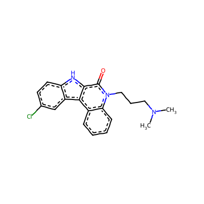 CN(C)CCCn1c(=O)c2[nH]c3ccc(Cl)cc3c2c2ccccc21